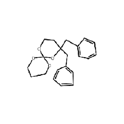 c1ccc(CC2(Cc3ccccc3)CCOC3(OCCCO3)O2)cc1